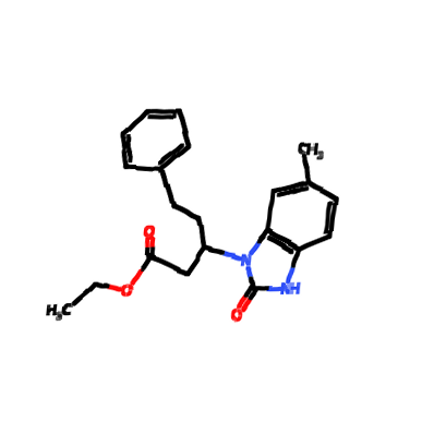 CCOC(=O)CC(CCc1ccccc1)n1c(=O)[nH]c2ccc(C)cc21